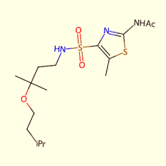 CC(=O)Nc1nc(S(=O)(=O)NCCC(C)(C)OCCC(C)C)c(C)s1